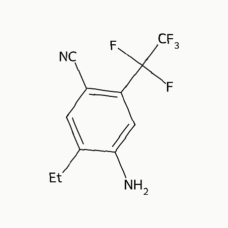 CCc1cc(C#N)c(C(F)(F)C(F)(F)F)cc1N